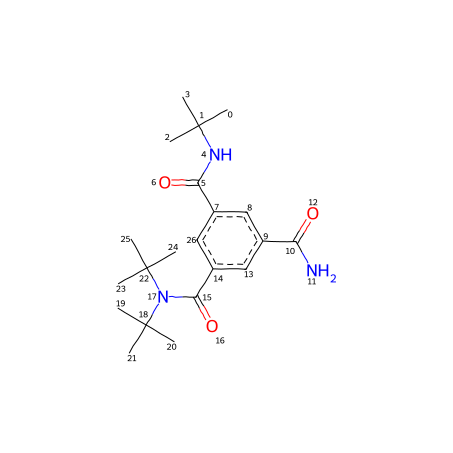 CC(C)(C)NC(=O)c1cc(C(N)=O)cc(C(=O)N(C(C)(C)C)C(C)(C)C)c1